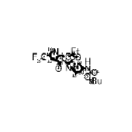 CCS(=O)(=O)c1c(N2Cc3ncc(C(F)(F)F)cc3C2=O)nc2ccc(NC(=O)OC(C)(C)C)cn12